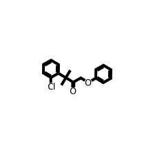 CC(C)(C(=O)COc1ccccc1)c1ccccc1Cl